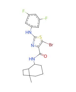 CC12CCCC(NC(=O)c3nc(Nc4cc(F)cc(F)c4)sc3Br)C1CC2